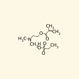 C=C(C)C(=O)OCCN(C)C.CCS(=O)(=O)O